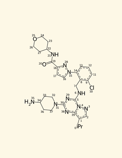 CC(C)c1cnn2c(NCc3c(Cl)cccc3-n3ccc(C(=O)NC4CCOCC4)n3)nc(N3CCC(N)CC3)nc12